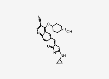 Cl.N#Cc1cnc2ccc(/C=C3/SC(NC4CC4)=NC3=O)cc2c1OC1CCNCC1